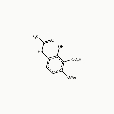 COc1ccc(NC(=O)C(F)(F)F)c(O)c1C(=O)O